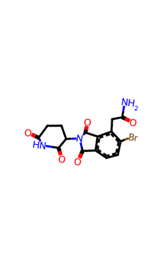 NC(=O)Cc1c(Br)ccc2c1C(=O)N(C1CCC(=O)NC1=O)C2=O